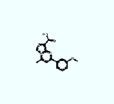 COc1cccc(-c2cc(C)n3cnc(C(=O)O)c3n2)c1